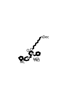 CCCCCCCCCCCCCCCCCCOc1cn(Cc2ccccc2)c(CN2CCC(C#N)(c3ccccc3)CC2)cc1=O.Cl.Cl